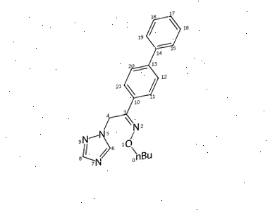 CCCCON=C(Cn1cncn1)c1ccc(-c2ccccc2)cc1